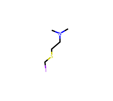 CN(C)CCSCI